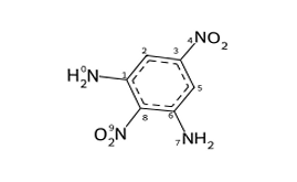 Nc1cc([N+](=O)[O-])cc(N)c1[N+](=O)[O-]